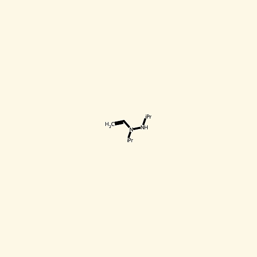 C=CN(NC(C)C)C(C)C